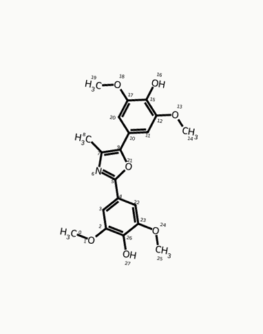 COc1cc(-c2nc(C)c(-c3cc(OC)c(O)c(OC)c3)o2)cc(OC)c1O